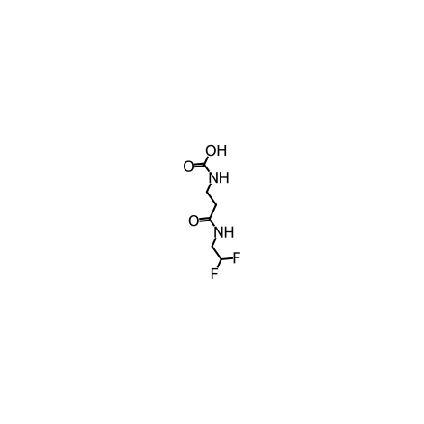 O=C(O)NCCC(=O)NCC(F)F